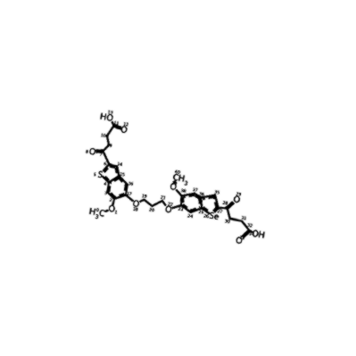 COc1cc2sc(C(=O)CCC(=O)O)cc2cc1OCCCOc1cc2[se]c(C(=O)CCC(=O)O)cc2cc1OC